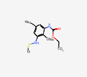 CCSNc1cc(C(C)(C)C)cc(NC(=O)OCC(Cl)(Cl)Cl)c1OC